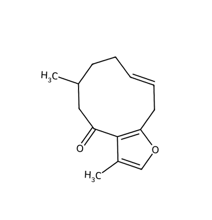 Cc1coc2c1C(=O)CC(C)CC/C=C/C2